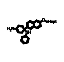 CCCCCCCOc1ccc2cc(C3(Nc4ccccc4)C=CC(N)=CC3)ccc2c1